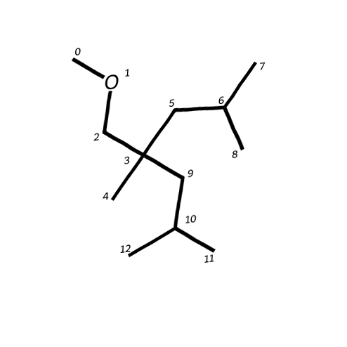 COCC(C)(CC(C)C)CC(C)C